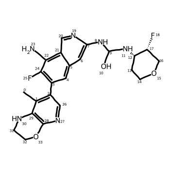 Cc1c(-c2cc3cc(NC(O)N[C@H]4CCOC[C@H]4F)ncc3c(N)c2F)cnc2c1NCCO2